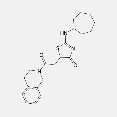 O=C1N=C(NC2CCCCCC2)SC1CC(=O)N1CCc2ccccc2C1